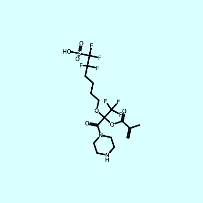 C=C(C)C(=O)OC(OCCCCC(F)(F)C(F)(F)S(=O)(=O)O)(C(=O)N1CCNCC1)C(F)(F)F